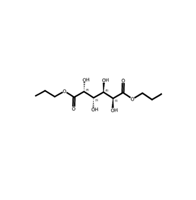 CCCOC(=O)[C@@H](O)[C@H](O)[C@H](O)[C@@H](O)C(=O)OCCC